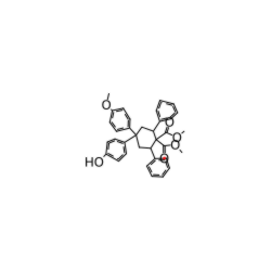 COC(=O)C1(C(=O)OC)C(c2ccccc2)CC(c2ccc(O)cc2)(c2ccc(OC)cc2)CC1c1ccccc1